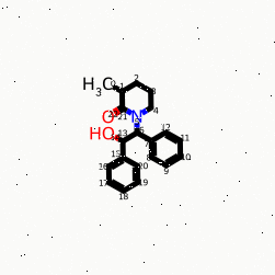 CC1CCCN(C(c2ccccc2)C(O)c2ccccc2)C1=O